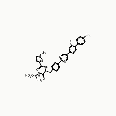 C[C@@H](NC(=O)[C@H](Cc1ccc(-c2ncc(-c3ccc(-c4ccc(C(F)(F)F)cc4)c(F)c3)cn2)cc1)NC(=O)c1ccc(C(C)(C)C)s1)C(=O)O